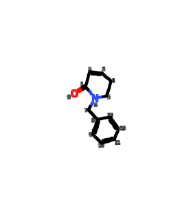 O=C1C=CCCN1Cc1ccccc1